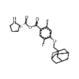 O=C(OC(=O)[C@@H]1CCCN1)c1cc(F)c(OCC23CC4CC(CC(C4)C2)C3)cc1F